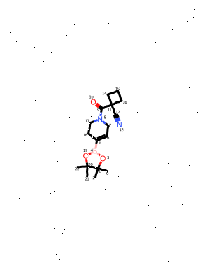 CC1(C)OB(C2=CCN(C(=O)C3(C#N)CCC3)CC2)OC1(C)C